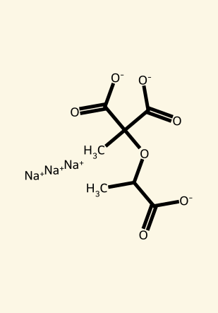 CC(OC(C)(C(=O)[O-])C(=O)[O-])C(=O)[O-].[Na+].[Na+].[Na+]